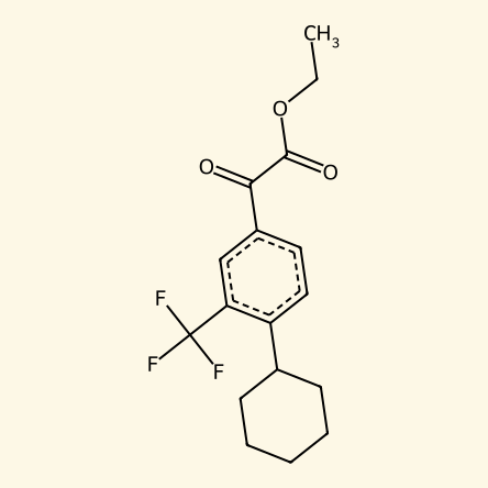 CCOC(=O)C(=O)c1ccc(C2CCCCC2)c(C(F)(F)F)c1